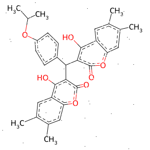 Cc1cc2oc(=O)c(C(c3ccc(OC(C)C)cc3)c3c(O)c4cc(C)c(C)cc4oc3=O)c(O)c2cc1C